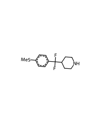 CSc1ccc(C(F)(F)C2CCNCC2)cc1